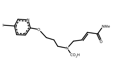 CNC(=O)C=CCN(CCCOc1ccc(I)cn1)C(=O)O